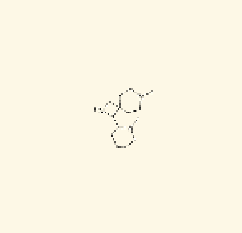 IN1CCC2(CC1)CNC2C1CCCCN1I